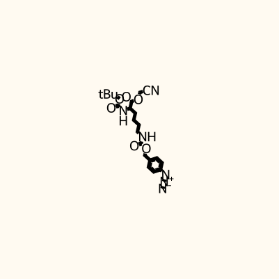 CC(C)(C)OC(=O)NC(CCCCNC(=O)OCc1ccc(N=[N+]=[N-])cc1)C(=O)OCC#N